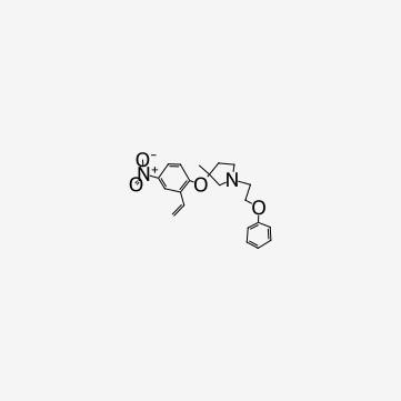 C=Cc1cc([N+](=O)[O-])ccc1OC1(C)CCN(CCOc2ccccc2)C1